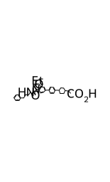 CCC1CN(C(=O)NCCCc2ccccc2)c2ccc(-c3ccc(C4CCC(CC(=O)O)CC4)cc3)cc2O1